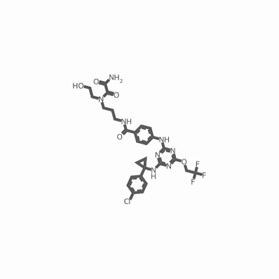 NC(=O)C(=O)N(CCO)CCCNC(=O)c1ccc(Nc2nc(NC3(c4ccc(Cl)cc4)CC3)nc(OCC(F)(F)F)n2)cc1